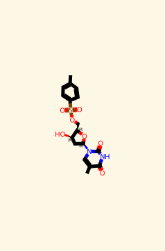 Cc1ccc(S(=O)(=O)OC[C@H]2O[C@@H](n3cc(C)c(=O)[nH]c3=O)C[C@H]2O)cc1